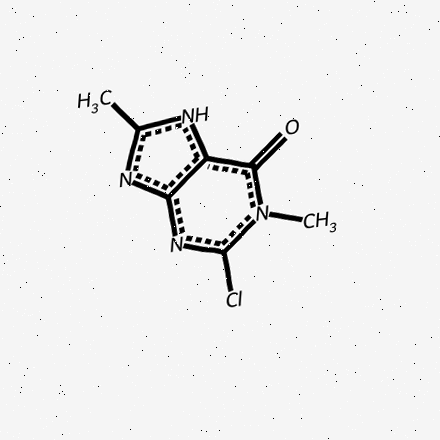 Cc1nc2nc(Cl)n(C)c(=O)c2[nH]1